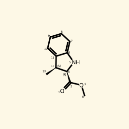 COC(=O)[C@@H]1Nc2ccccc2[C@@H]1C